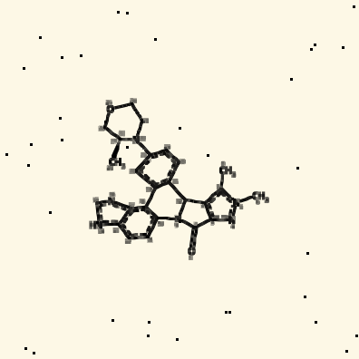 Cc1c2c(nn1C)C(=O)N1c3ccc4[nH]cnc4c3-c3cc(N4CCOC[C@@H]4C)ccc3C21